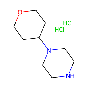 C1CN(C2CCOCC2)CCN1.Cl.Cl